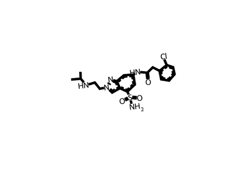 CC(C)NCCn1cc2c(S(N)(=O)=O)cc(NC(=O)Cc3ccccc3Cl)cc2n1